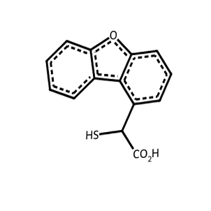 O=C(O)C(S)c1cccc2oc3ccccc3c12